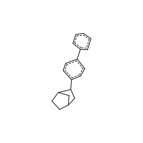 c1ccc(-c2ccc(C3CC4CCC3C4)cc2)cc1